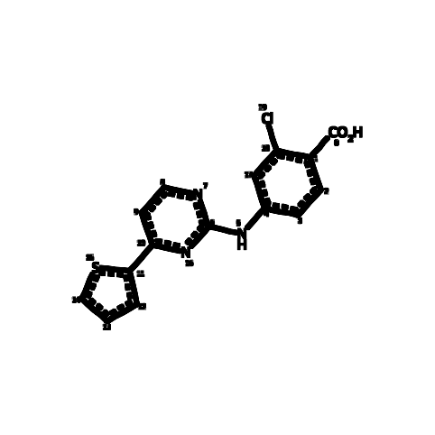 O=C(O)c1ccc(Nc2nccc(-c3cccs3)n2)cc1Cl